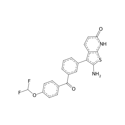 Nc1sc2[nH]c(=O)ccc2c1-c1cccc(C(=O)c2ccc(OC(F)F)cc2)c1